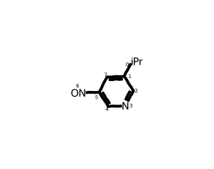 CC(C)c1cncc(N=O)c1